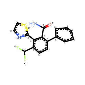 NC(=O)c1c(-c2ccccc2)ccc(C(F)F)c1-c1nccs1